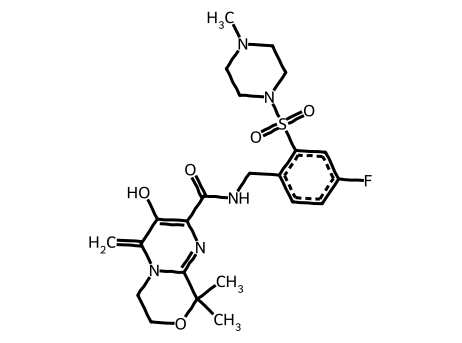 C=C1C(O)=C(C(=O)NCc2ccc(F)cc2S(=O)(=O)N2CCN(C)CC2)N=C2N1CCOC2(C)C